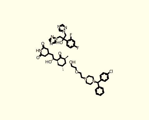 C[C@@H]1C[C@@H]([C@H](O)CC2CC(=O)NC(=O)C2)C(=O)[C@@H](C)C1.OC(Cn1cncn1)(Cn1cncn1)c1ccc(F)cc1F.OCCOCCN1CCN(C(c2ccccc2)c2ccc(Cl)cc2)CC1